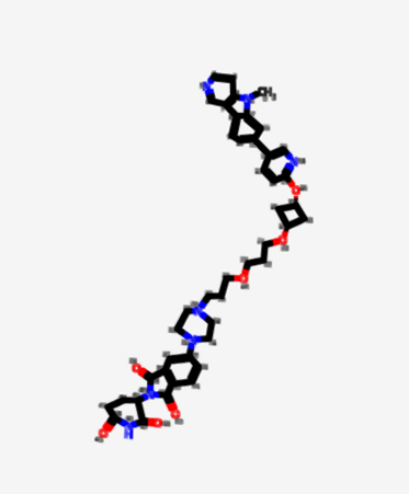 Cn1c2ccncc2c2ccc(-c3ccc(O[C@H]4C[C@H](OCCCOCCCN5CCN(c6ccc7c(c6)C(=O)N(C6CCC(=O)NC6=O)C7=O)CC5)C4)nc3)cc21